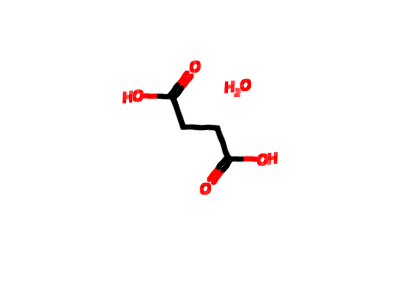 O.O=C(O)CCC(=O)O